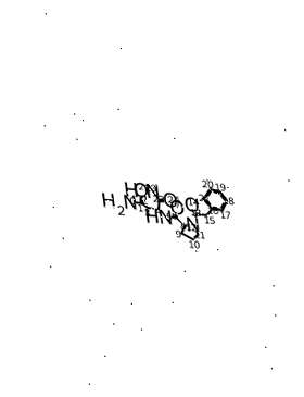 NC(=O)C[C@H](NC(=O)[C@@H]1CCCN1C(=O)Cc1ccccc1)C(N)=O